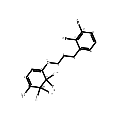 CCC1=CC=C(OCCCc2cccc(F)c2F)C(F)(F)C1(F)F